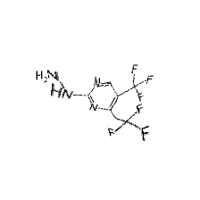 NNc1ncc(C(F)(F)F)c(C(F)(F)F)n1